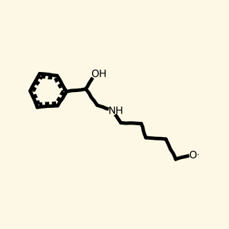 [O]CCCCCNCC(O)c1ccccc1